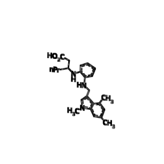 CCCC(CC(=O)O)Nc1ccccc1NCc1cn(C)c2cc(C)cc(C)c12